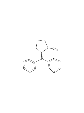 CC1CCC[C@@H]1P(c1ccccc1)c1ccccc1